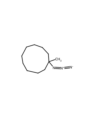 CC1(N=[N+]=[N-])CCCCCCCCC1